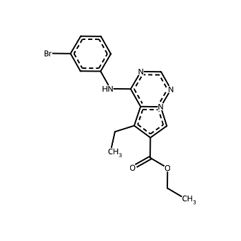 CCOC(=O)c1cn2ncnc(Nc3cccc(Br)c3)c2c1CC